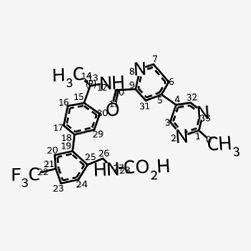 Cc1ncc(-c2ccnc(C(=O)N[C@H](C)c3ccc(-c4cc(C(F)(F)F)ccc4CNC(=O)O)cc3)c2)cn1